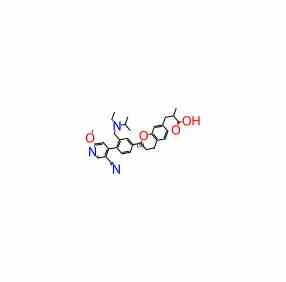 CCN(Cc1cc([C@@H]2CCc3ccc(CC(C)C(=O)O)cc3O2)ccc1-c1cc(OC)ncc1C#N)C(C)C